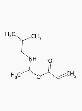 C=CC(=O)OC(C)NCC(C)C